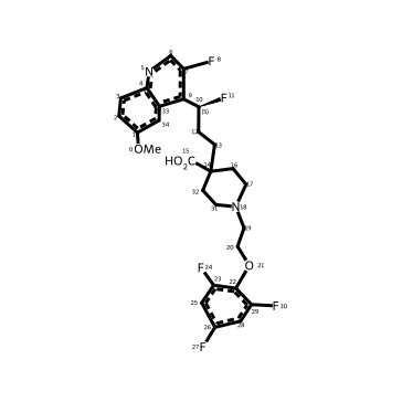 COc1ccc2ncc(F)c([C@@H](F)CCC3(C(=O)O)CCN(CCOc4c(F)cc(F)cc4F)CC3)c2c1